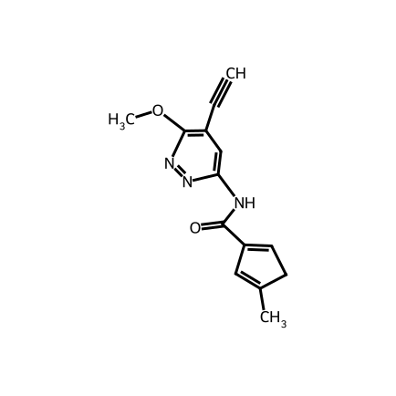 C#Cc1cc(NC(=O)C2=CCC(C)=C2)nnc1OC